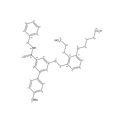 COc1ccc(-c2cc(OCc3cccc(OCCCC(=O)O)c3CCC(=O)O)cc(C(=O)NCc3ccccc3)c2)cc1